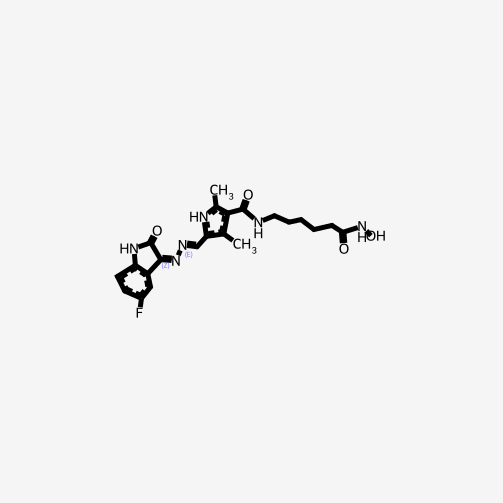 Cc1[nH]c(/C=N/N=C2\C(=O)Nc3ccc(F)cc32)c(C)c1C(=O)NCCCCCC(=O)NO